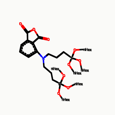 CCCCCCO[Si](CCCN(CCC[Si](OCCCCCC)(OCCCCCC)OCCCCCC)c1cccc2c1C(=O)OC2=O)(OCCCCCC)OCCCCCC